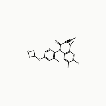 CC#CC(=O)N(c1cc(C)c(I)cc1C1CC1)c1ncc(OC2COC2)cc1C